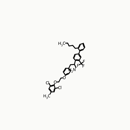 CCCCCc1ccccc1-c1ccc(C(CN)Cc2ccc(OCCOc3c(Cl)cc(C)cc3Cl)cc2)c(C(F)(F)F)c1